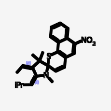 C/C=C1\C(=C/C(C)C)N(C)C2(C=Cc3cc([N+](=O)[O-])c4ccccc4c3S2)C1(C)C